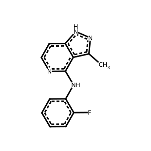 Cc1n[nH]c2ccnc(Nc3ccccc3F)c12